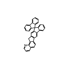 c1ccc2c(c1)-c1ccccc1C21c2ccccc2-c2cc3c(cc21)Cc1c-3ccc2cccnc12